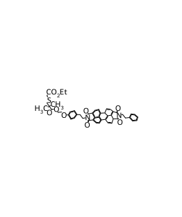 CCOC(=O)CSCC(C)(C)C(=O)OCCOc1ccc(CCN2C(=O)c3ccc4c5c(ccc(c35)C2=O)C2C=CC3=C5C2=C4C=CC5C(=O)N(CCc2ccccc2)C3=O)cc1